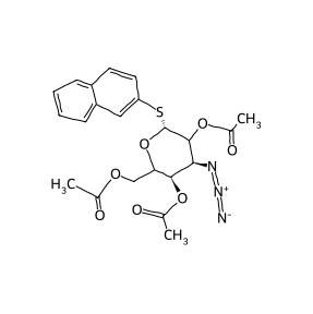 CC(=O)OCC1O[C@H](Sc2ccc3ccccc3c2)C(OC(C)=O)[C@@H](N=[N+]=[N-])[C@H]1OC(C)=O